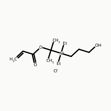 C=CC(=O)OC(C)(C)[N+](CC)(CC)CCCO.[Cl-]